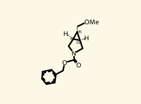 COC[C@@H]1[C@H]2CN(C(=O)OCc3ccccc3)C[C@@H]12